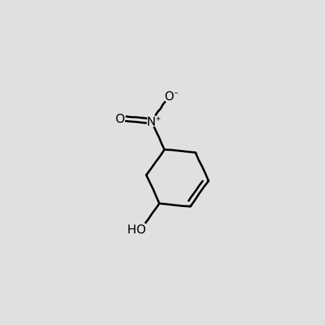 O=[N+]([O-])C1CC=CC(O)C1